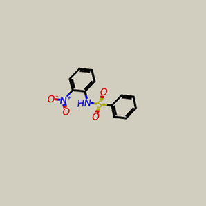 O=[N+]([O-])c1ccccc1NS(=O)(=O)c1ccccc1